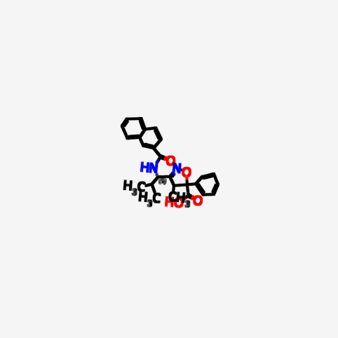 CC(C)[C@H](NC(=O)c1ccc2ccccc2c1)C1=NOC(C(=O)O)(c2ccccc2)C1C